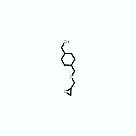 OCC1CCC(COCC2CO2)CC1